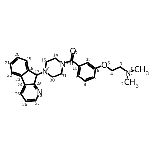 CN(C)CCOc1cccc(C(=O)N2CCN(C3c4ccccc4-c4cccnc43)CC2)c1